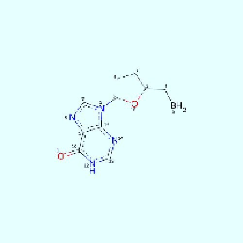 BCC1CCC(n2cnc3c(=O)[nH]cnc32)O1